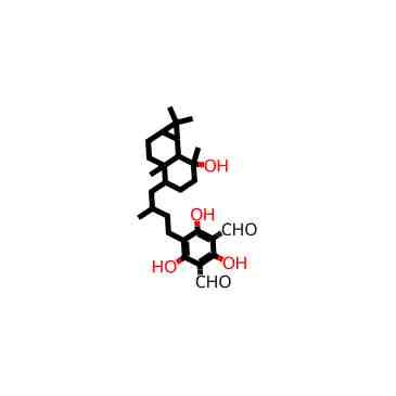 CC(CCc1c(O)c(C=O)c(O)c(C=O)c1O)CC1CCC(C)(O)C2C3C(CCC12C)C3(C)C